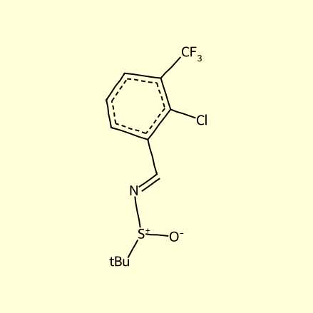 CC(C)(C)[S+]([O-])/N=C/c1cccc(C(F)(F)F)c1Cl